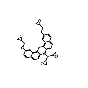 c1cc2ccc(OCC3CO3)c(Cc3c(OCC4CO4)ccc4ccc(OCC5CO5)cc34)c2cc1CCC1CO1